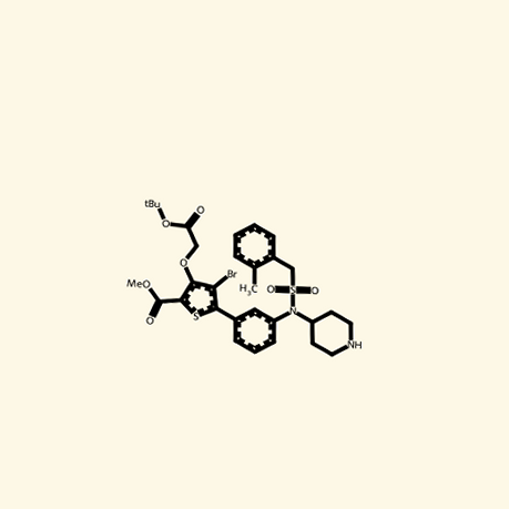 COC(=O)c1sc(-c2cccc(N(C3CCNCC3)S(=O)(=O)Cc3ccccc3C)c2)c(Br)c1OCC(=O)OC(C)(C)C